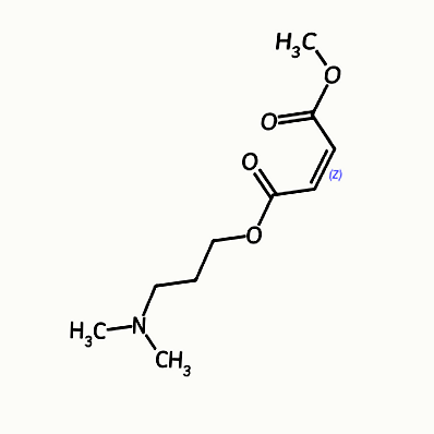 COC(=O)/C=C\C(=O)OCCCN(C)C